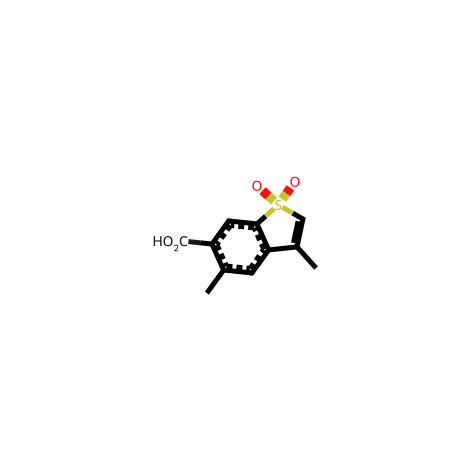 CC1=CS(=O)(=O)c2cc(C(=O)O)c(C)cc21